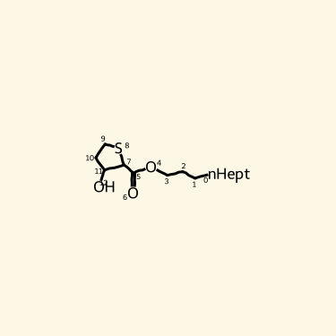 CCCCCCCCCCOC(=O)C1SCCC1O